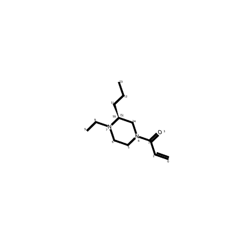 C=CC(=O)N1CCN(CC)[C@@H](CCC)C1